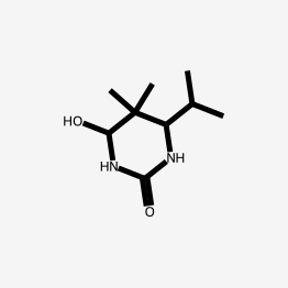 CC(C)C1NC(=O)NC(O)C1(C)C